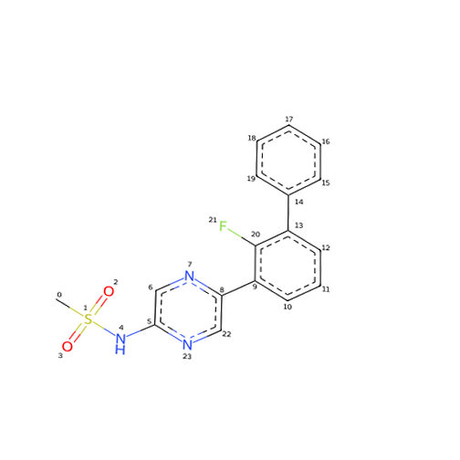 CS(=O)(=O)Nc1cnc(-c2cccc(-c3ccccc3)c2F)cn1